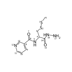 CSSCC(NC(=O)c1cccnc1)C(=O)NN